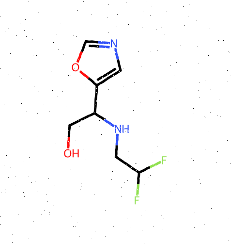 OCC(NCC(F)F)c1cnco1